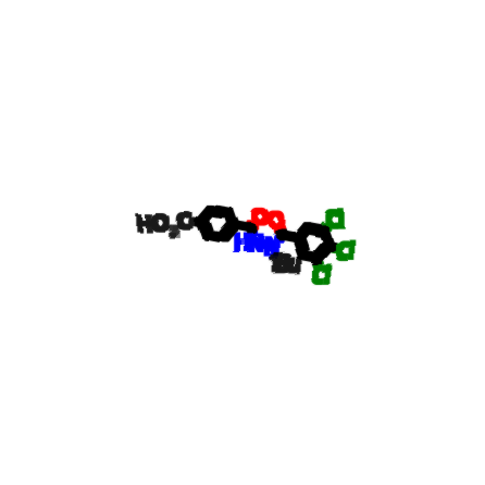 CCC(C)N(NC(=O)c1ccc(C(=O)O)cc1)C(=O)c1cc(Cl)c(Cl)c(Cl)c1